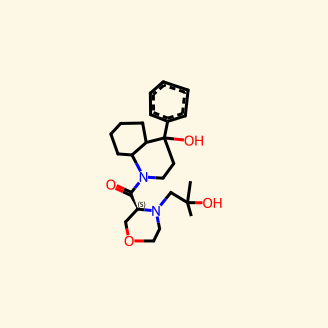 CC(C)(O)CN1CCOC[C@H]1C(=O)N1CCC(O)(c2ccccc2)C2CCCCC21